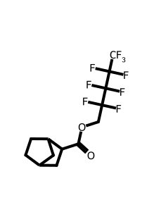 O=C(OCC(F)(F)C(F)(F)C(F)(F)C(F)(F)F)C1CC2CCC1C2